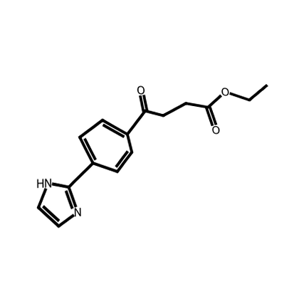 CCOC(=O)CCC(=O)c1ccc(-c2ncc[nH]2)cc1